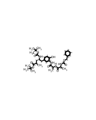 CC(C[C@H](Cc1ccc(O)c(NC(=O)C(C)NC(=O)C(C)NC(=O)OCc2ccccc2)c1)NC(=O)OC(C)(C)C)C(=O)OC(C)(C)C